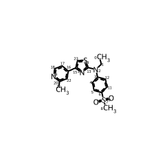 CCN(c1ccc(S(C)(=O)=O)cc1)c1nc(-c2ccnc(C)c2)cs1